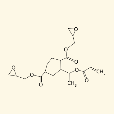 C=CC(=O)OC(C)C1CC(C(=O)OCC2CO2)CCC1C(=O)OCC1CO1